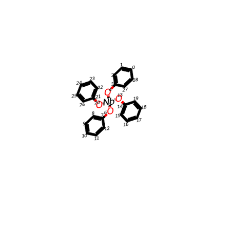 c1ccc([O][Nb]([O]c2ccccc2)([O]c2ccccc2)[O]c2ccccc2)cc1